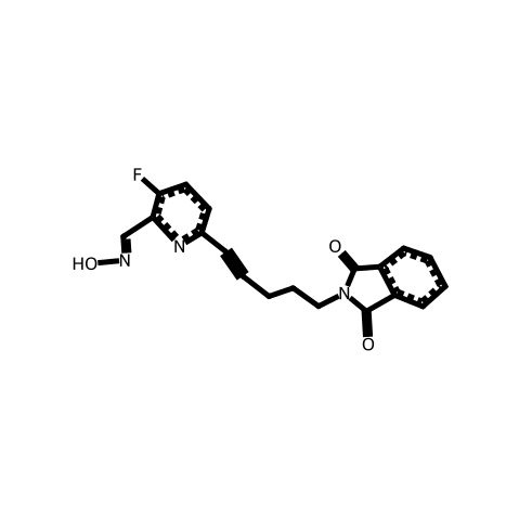 O=C1c2ccccc2C(=O)N1CCCC#Cc1ccc(F)c(C=NO)n1